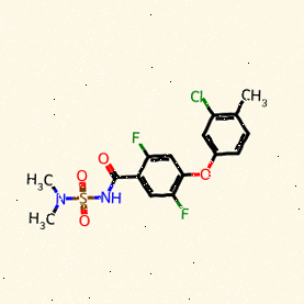 Cc1ccc(Oc2cc(F)c(C(=O)NS(=O)(=O)N(C)C)cc2F)cc1Cl